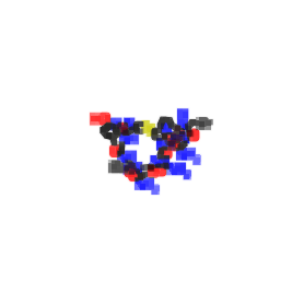 CC[C@H](C)[C@@H]1NC(=O)[C@H](Cc2ccc(O)cc2)NC(=O)[C@@H](N)CSSC[C@@H](C(=O)N2CCC[C@H]2C(=O)N[C@@H](CC(C)C)C(=O)NCC(N)=O)NC(=O)[C@H](CC(N)=O)NC(=O)[C@H](CC(N)=O)NC1=O